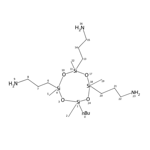 CCCC[Si]1(C)O[Si](C)(CCCN)O[Si](C)(CCCN)O[Si](C)(CCCN)O1